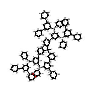 CC1(C)c2cc(-c3cc(N(c4ccccc4)c4cc(-c5ccccc5)cc(-c5ccccc5)c4)cc(N(c4ccccc4)c4cc(-c5ccccc5)cc(-c5ccccc5)c4)c3)ccc2-c2ccc(-c3cc(N(c4ccccc4)c4cc(-c5ccccc5)cc(-c5ccccc5)c4)cc(N(c4ccccc4)c4cc(-c5ccccc5)cc(-c5ccccc5)c4)c3)cc21